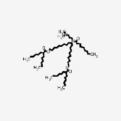 CCCCCCCCC(=O)N(CCCN(C)C)C(CCCCCCCCCOC(=O)C(CCCCCC)CCCCCC)CCCCCCCCCOC(=O)C(CCCCCC)CCCCCC